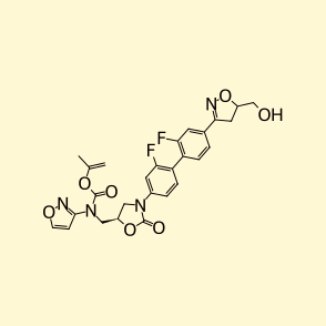 C=C(C)OC(=O)N(C[C@H]1CN(c2ccc(-c3ccc(C4=NOC(CO)C4)cc3F)c(F)c2)C(=O)O1)c1ccon1